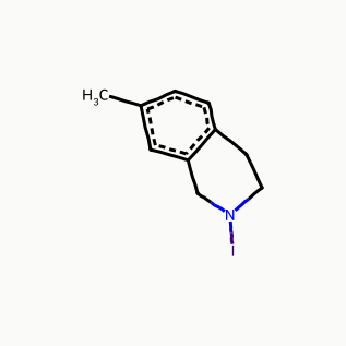 Cc1ccc2c(c1)CN(I)CC2